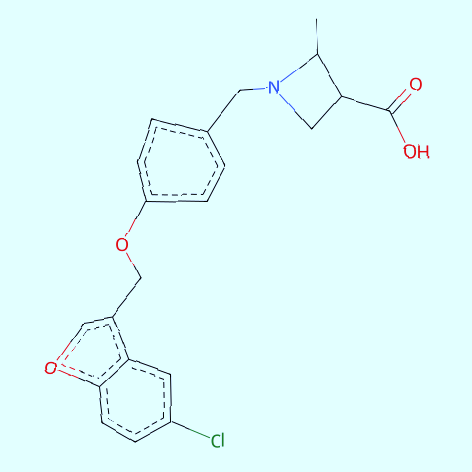 CC1C(C(=O)O)CN1Cc1ccc(OCc2coc3ccc(Cl)cc23)cc1